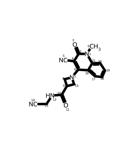 Cn1c(=O)c(C#N)c(N2CC(C(=O)NCC#N)C2)c2ccccc21